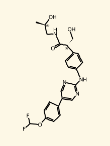 C[C@@H](O)CNC(=O)[C@H](CO)c1ccc(Nc2ncc(-c3ccc(OC(F)F)cc3)cn2)cc1